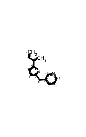 C=C[C](C)c1ccc(Cc2cccnc2)s1